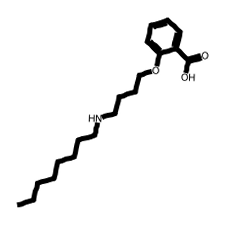 CCCCCCCCNCCCCOc1ccccc1C(=O)O